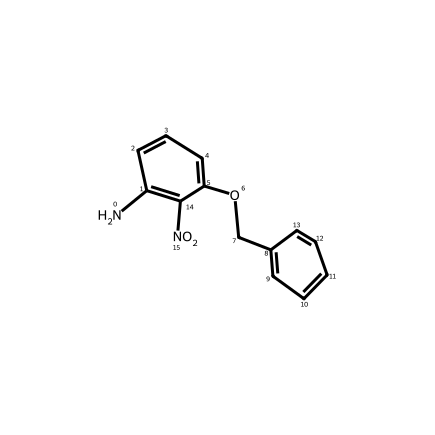 Nc1cccc(OCc2ccccc2)c1[N+](=O)[O-]